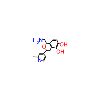 Cc1cc(C2Cc3c(ccc(O)c3O)C(CN)O2)ccn1